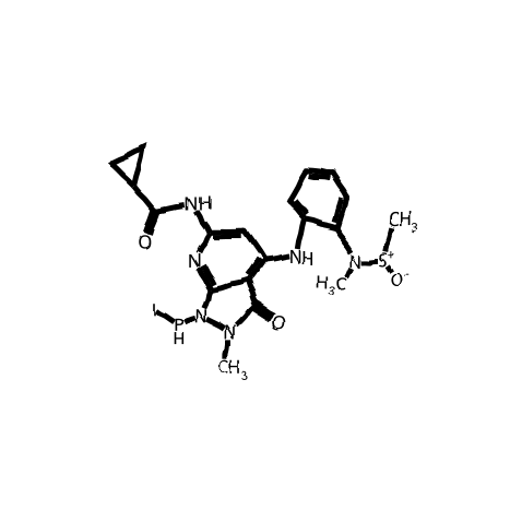 CN(c1ccccc1Nc1cc(NC(=O)C2CC2)nc2c1c(=O)n(C)n2PI)[S+](C)[O-]